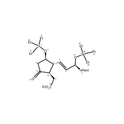 CCCCC[C@@H](C=C[C@H]1[C@H](O[Si](CC)(CC)CC)CC(=O)[C@@H]1CC(=O)OCC)O[Si](CC)(CC)CC